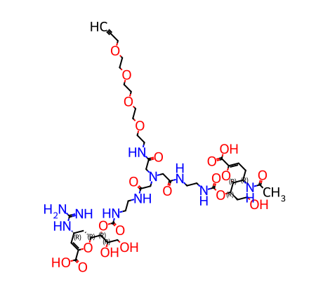 C#CCOCCOCCOCCOCCNC(=O)CN(CC(=O)NCCNC(=O)O[C@H]([C@H](O)CO)[C@H]1C[C@@H](NC(=N)N)C=C(C(=O)O)O1)CC(=O)NCCNC(=O)O[C@H](CCO)[C@@H]1OC(C(=O)O)=CC[C@H]1NC(C)=O